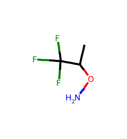 CC(ON)C(F)(F)F